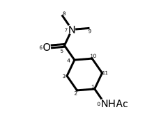 CC(=O)NC1CCC(C(=O)N(C)C)CC1